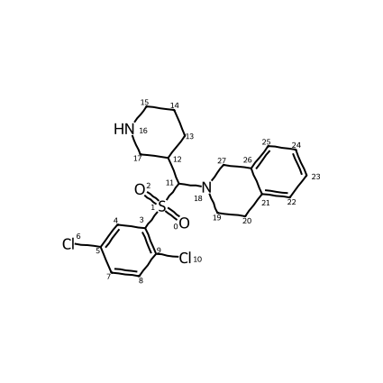 O=S(=O)(c1cc(Cl)ccc1Cl)C(C1CCCNC1)N1CCc2ccccc2C1